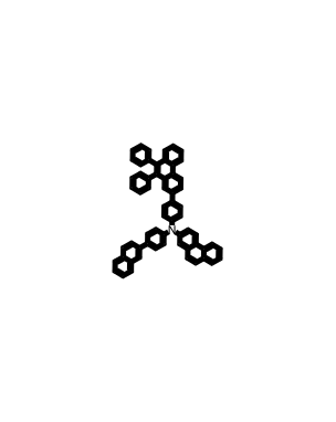 c1ccc(-c2c(-c3ccccc3)c3cc(-c4ccc(N(c5ccc(-c6ccc7ccccc7c6)cc5)c5ccc6c(ccc7ccccc76)c5)cc4)ccc3c3ccccc23)cc1